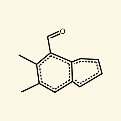 Cc1cc2ccccc2c(C=O)c1C